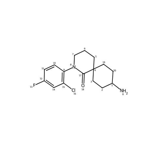 NC1CCC2(CCCN(c3ccc(F)cc3Cl)C2=O)CC1